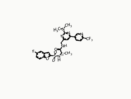 C[C@H](NS(=O)(=O)c1cc2cc(F)ccc2o1)C(=O)NCc1cc(-c2ccc(C(F)(F)F)nc2)nc(N(C)C)n1